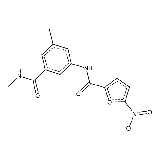 CNC(=O)c1cc(C)cc(NC(=O)c2ccc([N+](=O)[O-])o2)c1